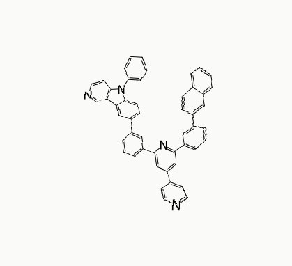 c1ccc(-n2c3ccncc3c3cc(-c4cccc(-c5cc(-c6ccncc6)cc(-c6cccc(-c7ccc8ccccc8c7)c6)n5)c4)ccc32)cc1